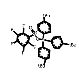 CC(C)(C)c1ccc(S(OS(=O)(=O)c2c(F)c(F)c(F)c(F)c2F)(c2ccc(C(C)(C)C)cc2)c2ccc(C(C)(C)C)cc2)cc1